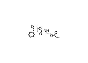 C=CC(=O)OCCNC(=O)OC(C)(C)C(=O)c1ccccc1